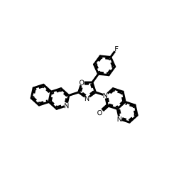 O=c1c2ncccc2ccn1-c1nc(-c2cc3ccccc3cn2)oc1-c1ccc(F)cc1